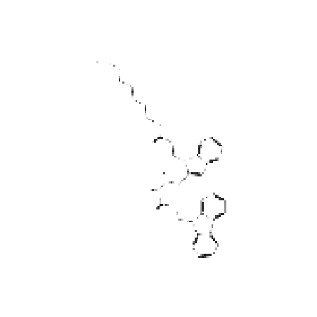 CN(Cc1cc2ccccc2n1CCC(=O)NCCCCCNC=O)N(C)C(=O)OCC1c2ccccc2-c2ccccc21